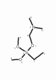 CC[Si](OC)(OC)OCN(C)C